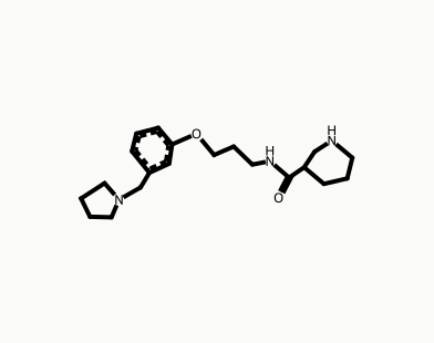 O=C(NCCCOc1cccc(CN2CCCC2)c1)C1CCCNC1